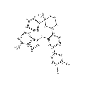 Nc1ncnn2c(Cc3cc(-c4ccc(F)c(F)c4)ncc3N3CCCC(N)(c4ccccn4)C3)cnc12